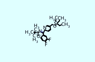 CC[Si](CC)(CC)OCc1ccc(/C(=N/[S+]([O-])C(C)(C)C)c2ccc(F)c(F)c2)nc1